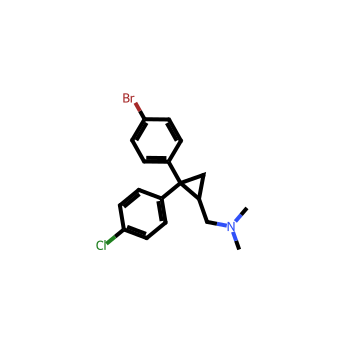 CN(C)CC1CC1(c1ccc(Cl)cc1)c1ccc(Br)cc1